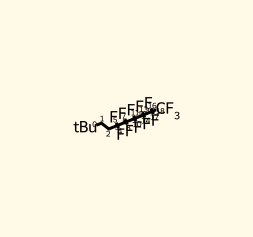 CC(C)(C)CCC(F)(F)C(F)(F)C(F)(F)C(F)(F)C(F)(F)C(F)(F)F